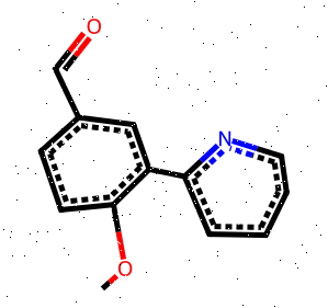 COc1ccc(C=O)cc1-c1ccccn1